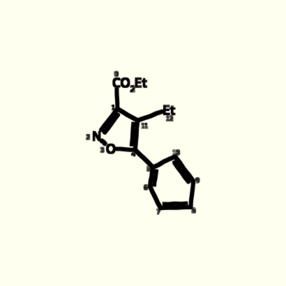 CCOC(=O)c1noc(-c2ccccc2)c1CC